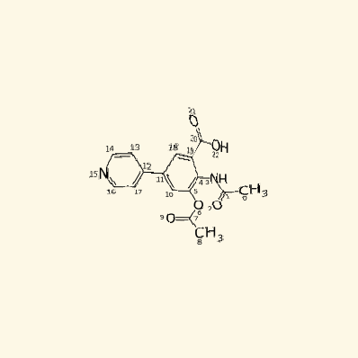 CC(=O)Nc1c(OC(C)=O)cc(-c2ccncc2)cc1C(=O)O